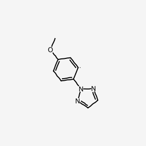 COc1c[c]c(-n2nccn2)cc1